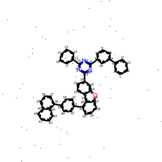 c1ccc(-c2cccc(-c3nc(-c4ccccc4)nc(-c4ccc5c(c4)oc4cccc(-c6ccc(-c7cccc8ccccc78)cc6)c45)n3)c2)cc1